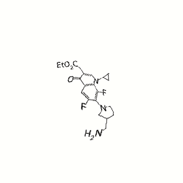 CCOC(=O)c1cn(C2CC2)c2c(F)c(N3CCC(CN)C3)c(F)cc2c1=O